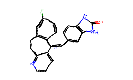 O=c1[nH]c2ccc(/C=C3\c4ccc(F)cc4CCc4ncccc43)cc2[nH]1